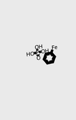 O=P(O)(O)O.[Fe][c]1ccccc1